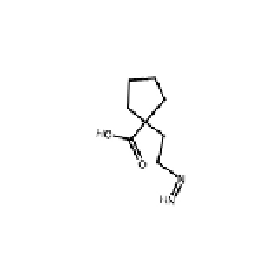 N=NCCC1(C(=O)O)CCCC1